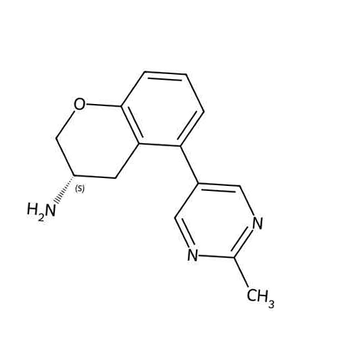 Cc1ncc(-c2cccc3c2C[C@H](N)CO3)cn1